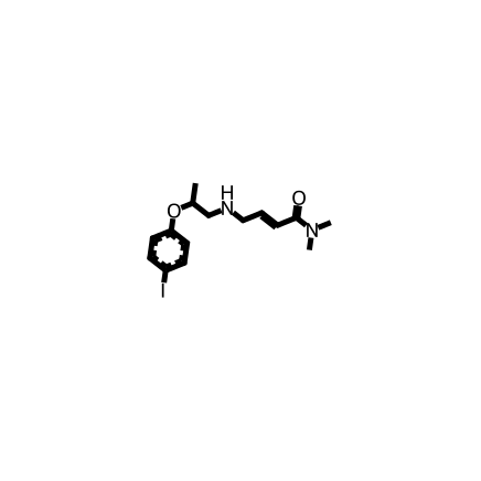 CC(CNC/C=C/C(=O)N(C)C)Oc1ccc(I)cc1